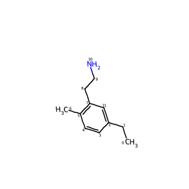 CCc1ccc(C)c(CCN)c1